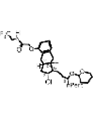 CCCCC[C@@H](CC[C@@H]1[C@H]2Cc3cccc(OCC(=O)NCC(F)(F)F)c3C[C@H]2C[C@H]1O)OC1CCCCO1